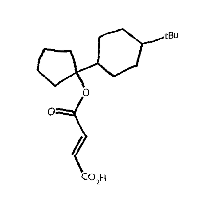 CC(C)(C)C1CCC(C2(OC(=O)/C=C/C(=O)O)CCCC2)CC1